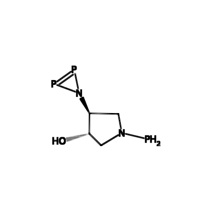 O[C@H]1CN(P)C[C@@H]1N1P=P1